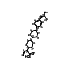 C=CC(C(=O)O)C1CCC([C@H]2CC[C@H](c3ccc(OC(F)F)cc3)CC2)CC1